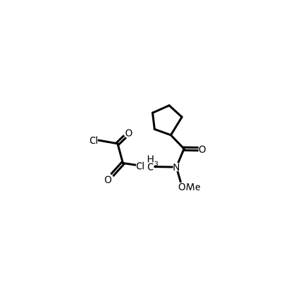 CON(C)C(=O)C1CCCC1.O=C(Cl)C(=O)Cl